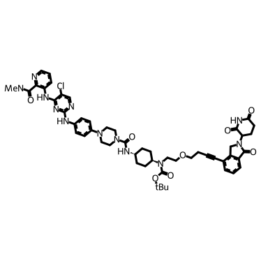 CNC(=O)c1ncccc1Nc1nc(Nc2ccc(N3CCN(C(=O)N[C@H]4CC[C@H](N(CCOCCC#Cc5cccc6c5CN(C5CCC(=O)NC5=O)C6=O)C(=O)OC(C)(C)C)CC4)CC3)cc2)ncc1Cl